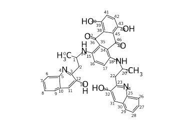 CC(Cc1nc2ccccc2cc1O)Nc1ccc(NC(C)Cc2nc3ccccc3cc2O)c2c1C(=O)c1c(O)ccc(O)c1C2=O